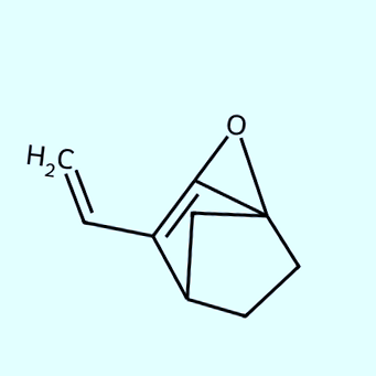 C=CC1=C2OC23CCC1C3